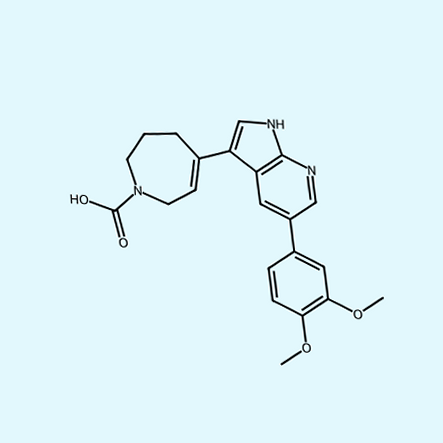 COc1ccc(-c2cnc3[nH]cc(C4=CCN(C(=O)O)CCC4)c3c2)cc1OC